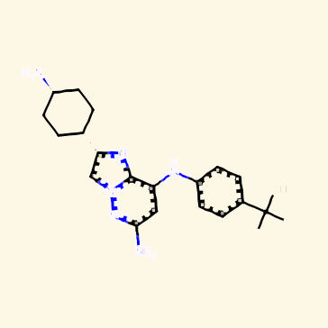 CC(C)(C)c1ccc(Nc2cc(N)nn3cc([C@H]4CC[C@H](N)CC4)nc23)cc1